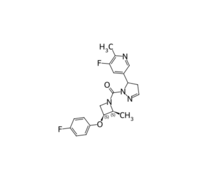 Cc1ncc(C2CC=NN2C(=O)N2C[C@H](Oc3ccc(F)cc3)[C@@H]2C)cc1F